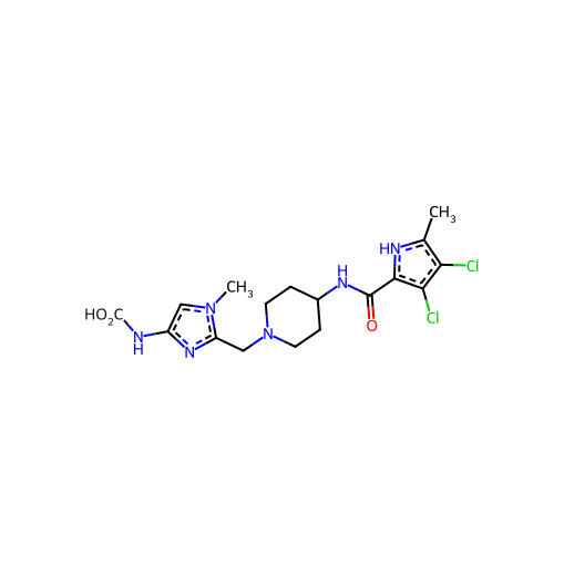 Cc1[nH]c(C(=O)NC2CCN(Cc3nc(NC(=O)O)cn3C)CC2)c(Cl)c1Cl